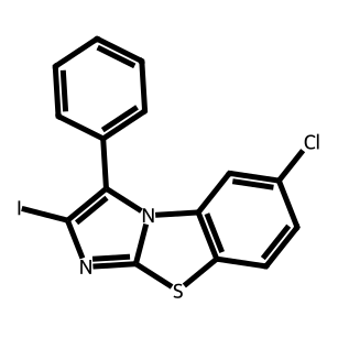 Clc1ccc2sc3nc(I)c(-c4ccccc4)n3c2c1